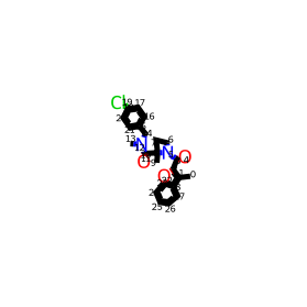 Cc1c(C(=O)N2CCC2(C)C(=O)N(C)Cc2ccc(Cl)cc2)oc2ccccc12